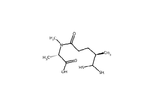 C[C@H](CCC(=O)N(C)[C@@H](C)C(=O)O)C(S)S